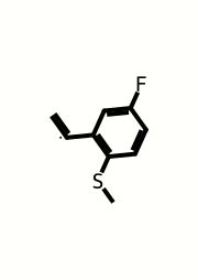 C=[C]c1cc(F)ccc1SC